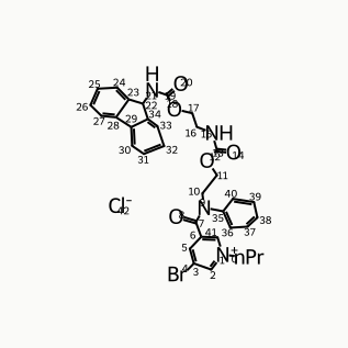 CCC[n+]1cc(Br)cc(C(=O)N(CCOC(=O)NCCOC(=O)NC2c3ccccc3-c3ccccc32)c2ccccc2)c1.[Cl-]